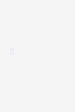 CCC/C=c1\[nH]cc\c1=C(/C)CCCC